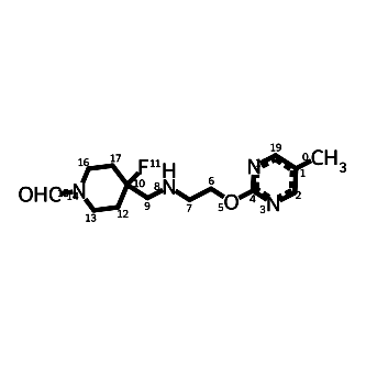 Cc1cnc(OCCNCC2(F)CCN(C=O)CC2)nc1